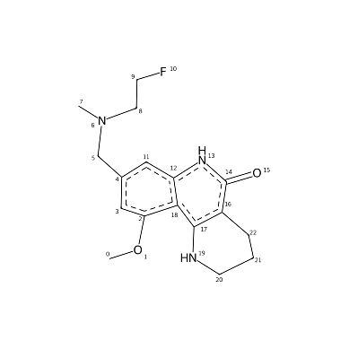 COc1cc(CN(C)CCF)cc2[nH]c(=O)c3c(c12)NCCC3